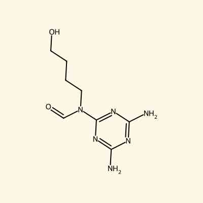 Nc1nc(N)nc(N(C=O)CCCCO)n1